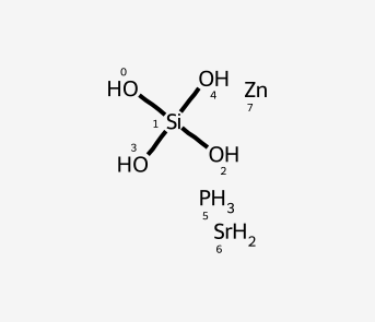 O[Si](O)(O)O.P.[SrH2].[Zn]